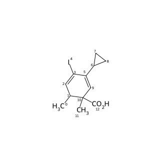 CC1C=C(I)C(C2CC2)=CC1(C)C(=O)O